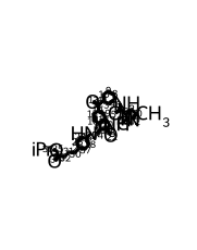 Cc1cc(C(=O)Nc2cccc(C(=O)c3ccc4c(c3)NC(=O)C4=CNc3ccc(CCCC(=O)OC(C)C)cc3)c2)n(C)n1